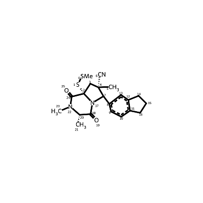 CSS[C@]12C[C@](C)(C#N)C(c3ccc4c(c3)CCC4)N1C(=O)[C@H](C)N(C)C2=O